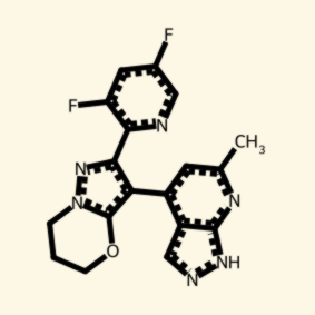 Cc1cc(-c2c(-c3ncc(F)cc3F)nn3c2OCCC3)c2cn[nH]c2n1